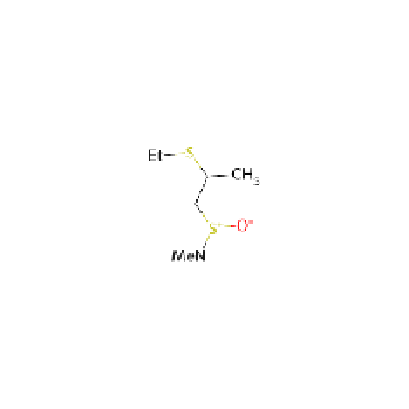 CCSC(C)C[S+]([O-])NC